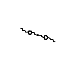 CCCCCc1ccc(C=CC#CC=Cc2ccc(CCCCC)cc2)cc1